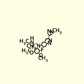 COc1cc(OC)c(F)c(N(CCNC(C)C)c2ccc3nnc(-c4cnn(C)c4)cc3c2)c1F